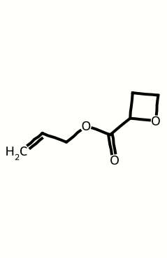 C=CCOC(=O)C1CCO1